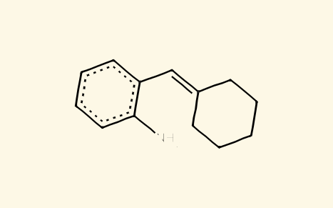 Nc1ccccc1C=C1CCCCC1